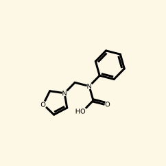 O=C(O)N(CN1C=COC1)c1ccccc1